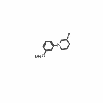 CCC1CCCN(c2cccc(OC)c2)C1